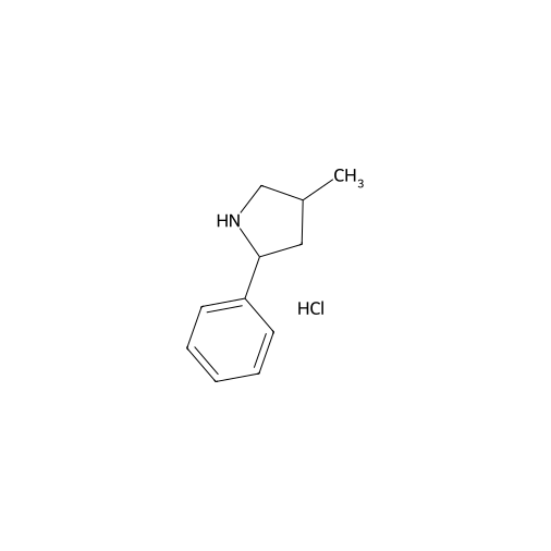 CC1CNC(c2ccccc2)C1.Cl